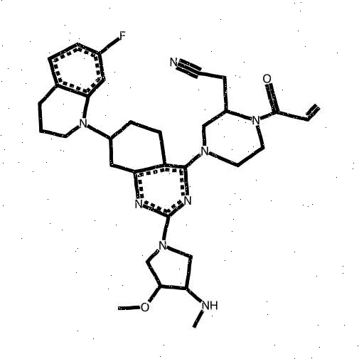 C=CC(=O)N1CCN(c2nc(N3CC(NC)C(OC)C3)nc3c2CCC(N2CCCc4ccc(F)cc42)C3)CC1CC#N